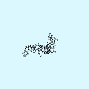 COc1cc(C)c(O[C@H]2CC[C@@](C)(C(=O)OCc3cccc4ccccc34)CC2)cc1C(=O)Nc1c(C)cccc1C(=O)NCC1(C)CCC1